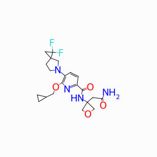 NC(=O)CC1(NC(=O)c2ccc(N3CCC4(C3)CC4(F)F)c(OCC3CC3)n2)COC1